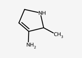 CC1NCC=C1N